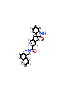 O=C(NCc1cccc2ncccc12)c1cc2c(cn1)CC1(C2)C(=O)Nc2ccccc21